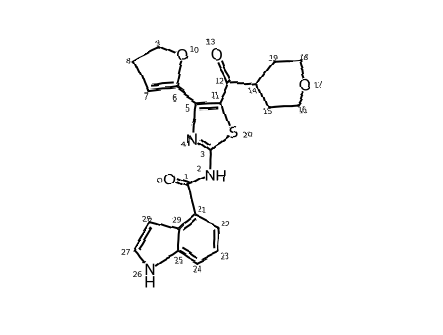 O=C(Nc1nc(C2=CCCO2)c(C(=O)C2CCOCC2)s1)c1cccc2[nH]ccc12